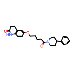 O=C1CCc2cc(OCCCCC(=O)N3CCC(c4ccccc4)CC3)ccc2N1